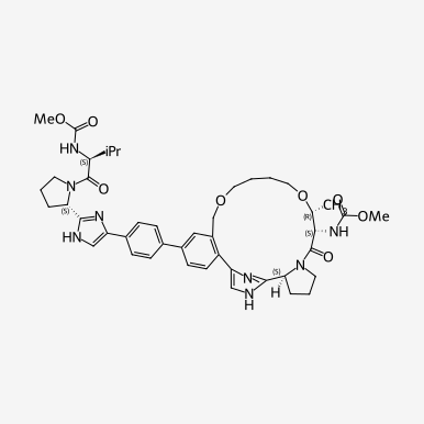 COC(=O)N[C@H](C(=O)N1CCC[C@H]1c1nc(-c2ccc(-c3ccc4c(c3)COCCCCO[C@H](C)[C@H](NC(=O)OC)C(=O)N3CCC[C@H]3c3nc-4c[nH]3)cc2)c[nH]1)C(C)C